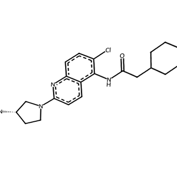 N[C@H]1CCN(c2ccc3c(NC(=O)CC4CCCCC4)c(Cl)ccc3n2)C1